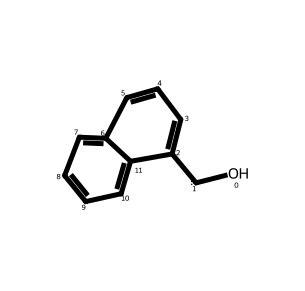 O[C]c1cccc2ccccc12